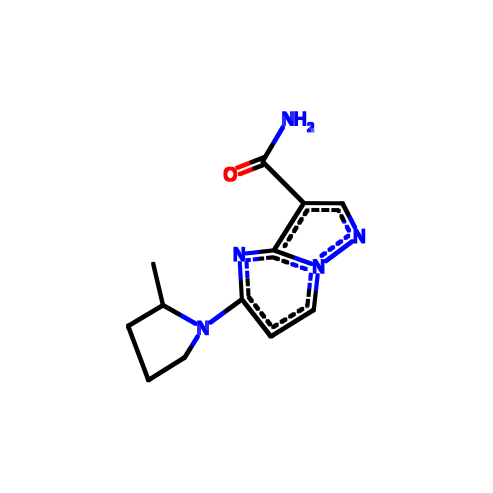 CC1CCCN1c1ccn2ncc(C(N)=O)c2n1